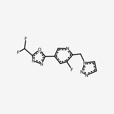 Fc1cc(-c2nnc(C(F)F)o2)cnc1Cn1ccnn1